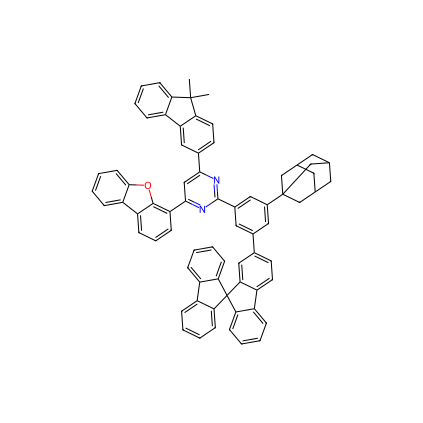 CC1(C)c2ccccc2-c2cc(-c3cc(-c4cccc5c4oc4ccccc45)nc(-c4cc(-c5ccc6c(c5)C5(c7ccccc7-c7ccccc75)c5ccccc5-6)cc(C56CC7CC(CC(C7)C5)C6)c4)n3)ccc21